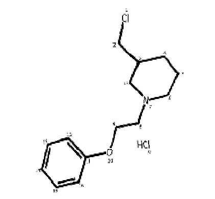 Cl.ClCC1CCCN(CCOc2ccccc2)C1